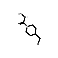 CCCNC(=O)N1CCC(C[O])CC1